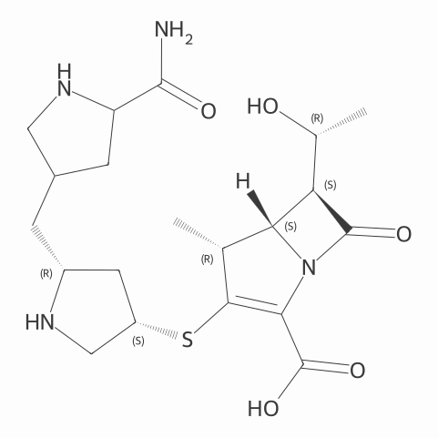 C[C@@H](O)[C@H]1C(=O)N2C(C(=O)O)=C(S[C@@H]3CN[C@H](CC4CNC(C(N)=O)C4)C3)[C@H](C)[C@H]12